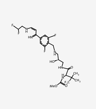 COC(=O)NC(C(=O)NC[C@@H](O)CNCc1c(F)cc(C(=N)/C=C\NCC(F)F)cc1F)C(C)(C)C(F)(F)F